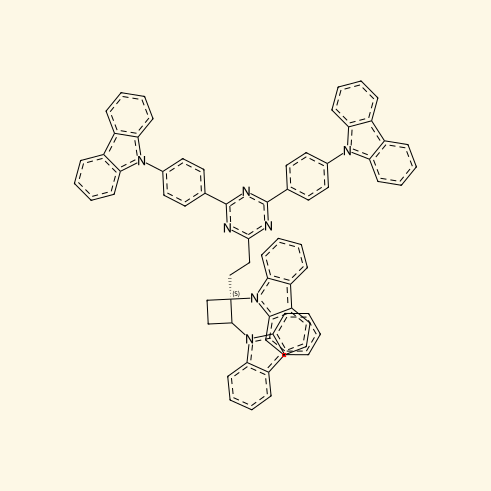 c1ccc2c(c1)c1ccccc1n2-c1ccc(-c2nc(CC[C@@]3(n4c5ccccc5c5ccccc54)CCC3n3c4ccccc4c4ccccc43)nc(-c3ccc(-n4c5ccccc5c5ccccc54)cc3)n2)cc1